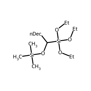 CCCCCCCCCCC(O[Si](C)(C)C)[Si](OCC)(OCC)OCC